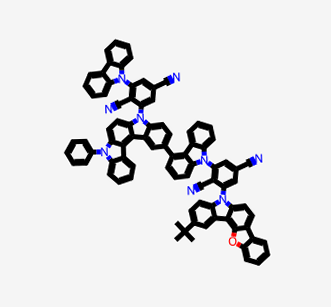 CC(C)(C)c1ccc2c(c1)c1c3oc4ccccc4c3ccc1n2-c1cc(C#N)cc(-n2c3ccccc3c3c(-c4ccc5c(c4)c4c6c7ccccc7n(-c7ccccc7)c6ccc4n5-c4cc(C#N)cc(-n5c6ccccc6c6ccccc65)c4C#N)cccc32)c1C#N